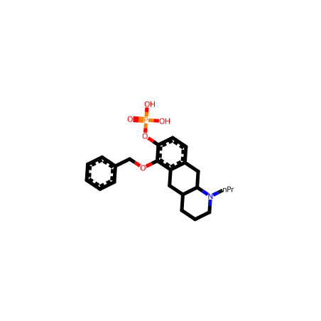 CCCN1CCCC2Cc3c(ccc(OP(=O)(O)O)c3OCc3ccccc3)CC21